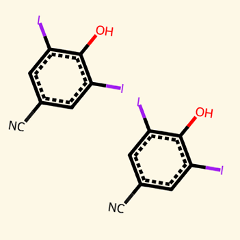 N#Cc1cc(I)c(O)c(I)c1.N#Cc1cc(I)c(O)c(I)c1